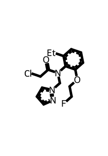 CCc1cccc(OCCF)c1N(Cn1cccn1)C(=O)CCl